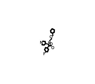 O=c1on(CCOCc2ccccc2)c(-c2ccncc2)c1-c1ccc(F)cc1